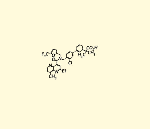 CCc1cc(C(=O)N(Cc2ccc(C(F)(F)F)o2)Cc2ccc(-c3cccc(C(C)(C)C(=O)O)c3)cc2Cl)c2nccc(C)c2n1